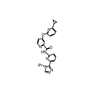 CC(C)n1cnnc1-c1cccc(NC(=O)c2cc(Oc3cccc(C4CC4)n3)ccn2)n1